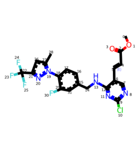 COC(=O)/C=C/c1cnc(Cl)nc1NCc1ccc(-n2nc(C(F)(F)F)cc2C)c(F)c1